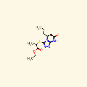 CCCc1cc(=O)[nH]c2nnc(SC(C)C(=O)OCC)n12